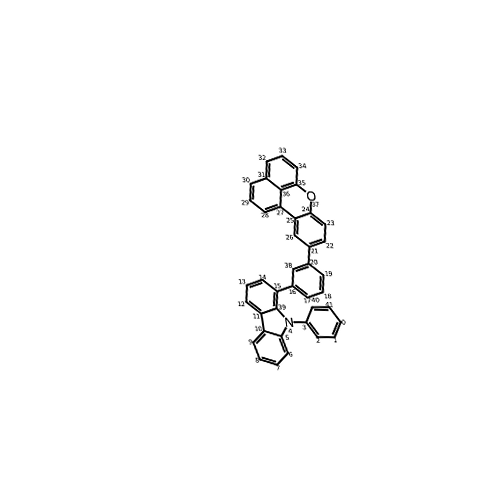 c1ccc(-n2c3ccccc3c3cccc(-c4cccc(-c5ccc6c(c5)-c5cccc7cccc(c57)O6)c4)c32)cc1